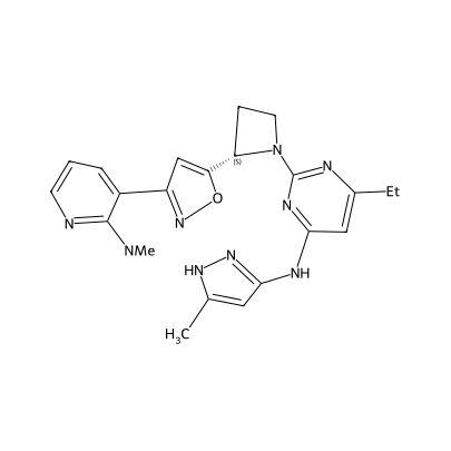 CCc1cc(Nc2cc(C)[nH]n2)nc(N2CC[C@H]2c2cc(-c3cccnc3NC)no2)n1